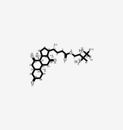 C[C@H](CCC(=O)OCCC(C)(P)C(F)(F)S)C1CCC2[C@@H]3C(=O)CC4CC(=O)CC[C@]4(C)C3CC(=O)[C@@]21C